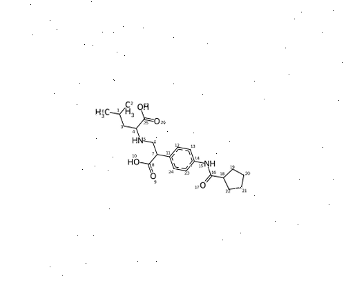 CC(C)CC(NCC(C(=O)O)c1ccc(NC(=O)C2CCCC2)cc1)C(=O)O